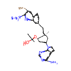 CC(C)(O)O[C@H]1CC(n2ccc3c(N)ncnc32)C[C@]1(C)CCc1ccc2cc(Br)c(N)nc2c1